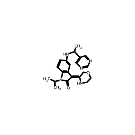 CC(Nc1ccc2c(c1)/C(=C1\COCCN1)C(=O)N2C(C)C)c1cncnc1